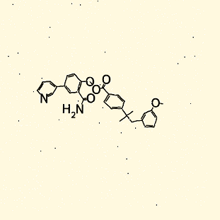 COc1cccc(CC(C)(C)c2ccc(C(=O)OOc3ccc(-c4cccnc4)cc3C(N)=O)cc2)c1